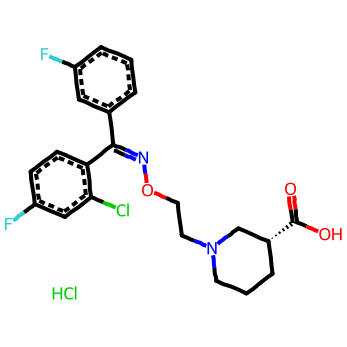 Cl.O=C(O)[C@@H]1CCCN(CCO/N=C(/c2cccc(F)c2)c2ccc(F)cc2Cl)C1